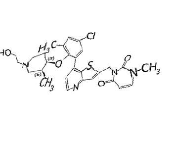 Cc1cc(Cl)cc(-c2ccnc3cc(Cn4c(=O)ccn(C)c4=O)sc23)c1O[C@@H]1CCN(CCO)C[C@@H]1C